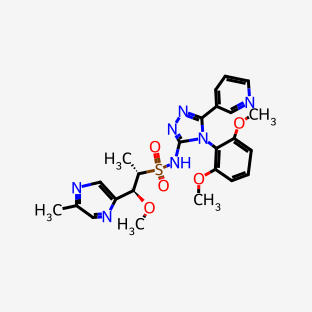 COc1cccc(OC)c1-n1c(NS(=O)(=O)[C@@H](C)[C@@H](OC)c2cnc(C)cn2)nnc1-c1cccnc1